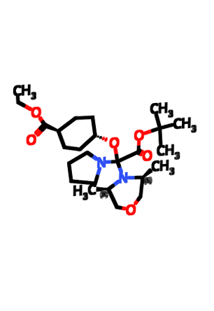 CCOC(=O)[C@H]1CC[C@H](OC(C(=O)OC(C)(C)C)(N2CCCC2)N2[C@H](C)COC[C@@H]2C)CC1